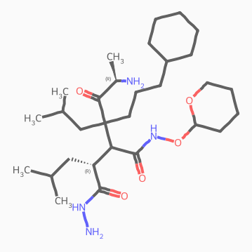 CC(C)C[C@@H](C(=O)NN)C(C(=O)NOC1CCCCO1)C(CCCC1CCCCC1)(CC(C)C)C(=O)[C@@H](C)N